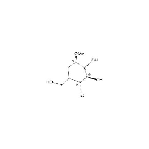 CC[C@@H]1C(CO)C[C@@H](OC)C(O)[C@H]1O